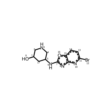 OC1CNCC(Nc2nc3nc(Br)ccc3o2)C1